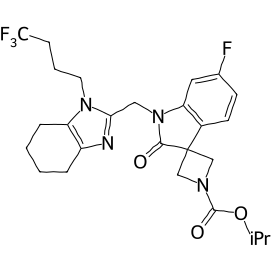 CC(C)OC(=O)N1CC2(C1)C(=O)N(Cc1nc3c(n1CCCC(F)(F)F)CCCC3)c1cc(F)ccc12